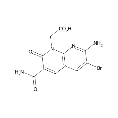 NC(=O)c1cc2cc(Br)c(N)nc2n(CC(=O)O)c1=O